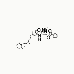 CC(=O)NC(CC(NC(=O)C=C(C)C=CC=C(C)C=CC1=C(C)CCCC1(C)C)C(N)=O)C(=O)Oc1ccccc1